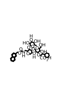 CC1OC(OC2C(CNC(=O)OCc3ccc4ccccc4c3)OCCC2OC2OC(CO)C(O)C(OC(CC3CCCCC3)C(=O)O)C2O)C(O)C(O)C1O